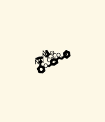 O=C(O)Oc1cnn(-c2ccnc(-c3ccccc3OCc3ccc(CCc4ccccc4)cc3)n2)c1C(F)(F)F